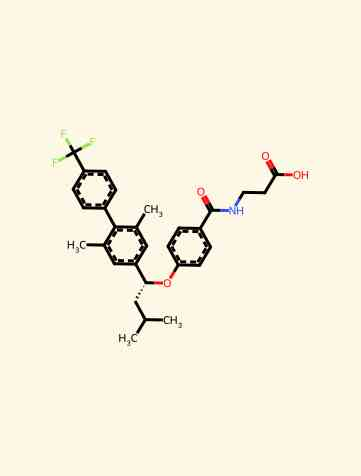 Cc1cc([C@@H](CC(C)C)Oc2ccc(C(=O)NCCC(=O)O)cc2)cc(C)c1-c1ccc(C(F)(F)F)cc1